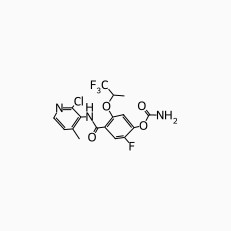 Cc1ccnc(Cl)c1NC(=O)c1cc(F)c(OC(N)=O)cc1OC(C)C(F)(F)F